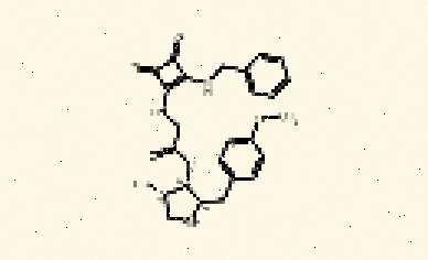 COc1ccc(C[C@H]2NC[C@H](O)[C@H]2OC(=O)CNc2c(NCc3ccccc3)c(=O)c2=O)cc1